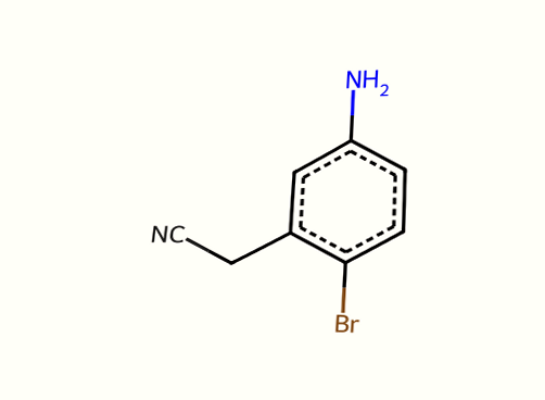 N#CCc1cc(N)ccc1Br